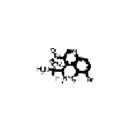 CC(C)(N)C(N)c1c([N+](=O)[O-])cnc2ccc(Br)c(F)c12